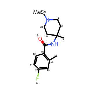 CSN1CCC(C)(NC(=O)c2ccc(F)cc2C)CC1